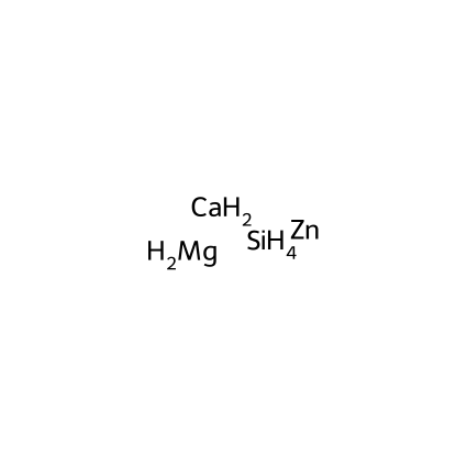 [CaH2].[MgH2].[SiH4].[Zn]